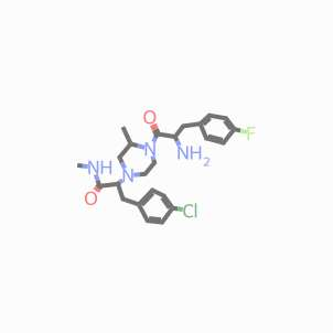 CNC(=O)C(Cc1ccc(Cl)cc1)N1CCN(C(=O)C(N)Cc2ccc(F)cc2)C(C)C1